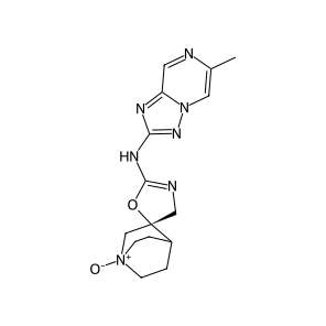 Cc1cn2nc(NC3=NC[C@@]4(C[N+]5([O-])CCC4CC5)O3)nc2cn1